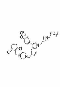 O=C(O)CNCCCn1cc(-c2ccc(OC(F)(F)F)cc2)c2cc(CN3CCN(Cc4c(Cl)cccc4Cl)CC3)ccc21